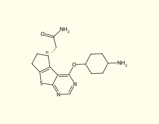 NC(=O)C[C@H]1CCc2sc3ncnc(OC4CCC(N)CC4)c3c21